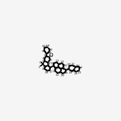 CC1(C)c2cc3c(cc2-c2c(-c4ccc5ccc6c(-c7ccc8ccccc8c7)ccc7ccc4c5c76)cccc21)oc1ccccc13